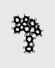 c1ccc(C2(c3ccccc3)c3ccccc3-c3cc(N(c4ccc5c(c4)sc4ccccc45)c4cccc5sc6ccccc6c45)ccc32)cc1